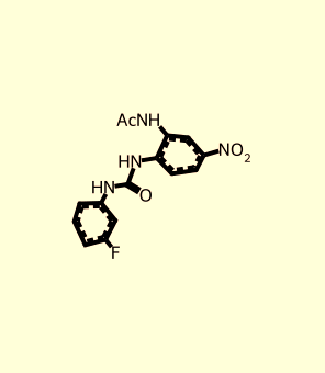 CC(=O)Nc1cc([N+](=O)[O-])ccc1NC(=O)Nc1cccc(F)c1